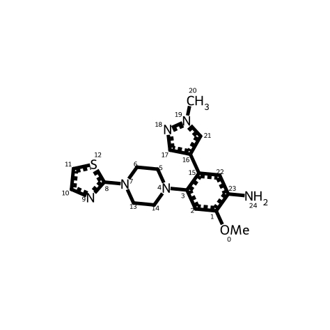 COc1cc(N2CCN(c3nccs3)CC2)c(-c2cnn(C)c2)cc1N